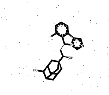 OC1C2CC3CC1CC([C@H](O)C[C@@H]1c4c(F)cccc4-c4cncn41)(C3)C2